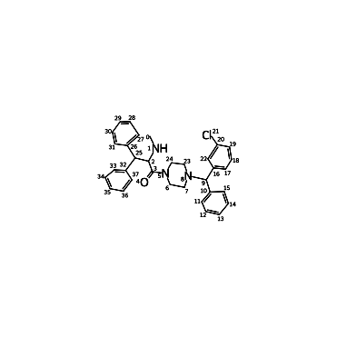 CNC(C(=O)N1CCN(C(c2ccccc2)c2cccc(Cl)c2)CC1)C(c1ccccc1)c1ccccc1